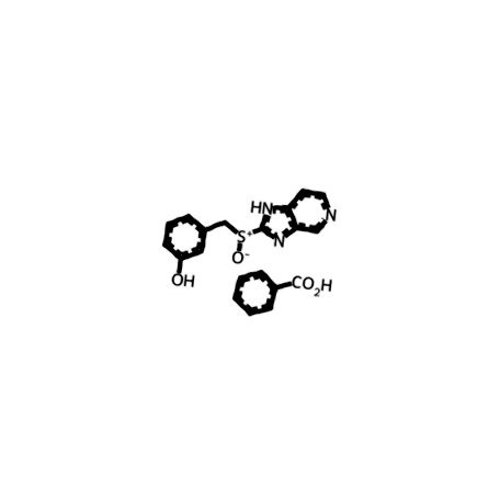 O=C(O)c1ccccc1.[O-][S+](Cc1cccc(O)c1)c1nc2cnccc2[nH]1